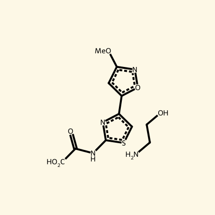 COc1cc(-c2csc(NC(=O)C(=O)O)n2)on1.NCCO